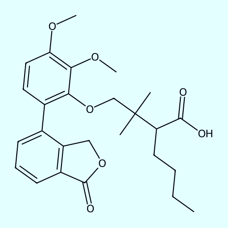 CCCCC(C(=O)O)C(C)(C)COc1c(-c2cccc3c2COC3=O)ccc(OC)c1OC